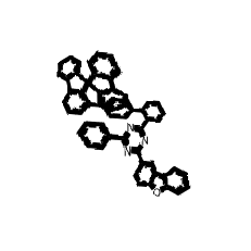 c1ccc(-c2nc(-c3ccc4oc5ccccc5c4c3)nc(-c3ccccc3-c3ccc(-c4cccc5c4C4(c6ccccc6-c6ccccc64)c4ccccc4-5)cc3)n2)cc1